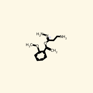 C=C(O/C(CCN)=N\N)c1ccccc1OC